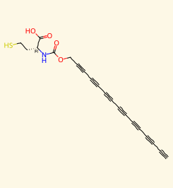 C#CC#CC#CC#CC#CC#CC#CCOC(=O)N[C@H](CCS)C(=O)O